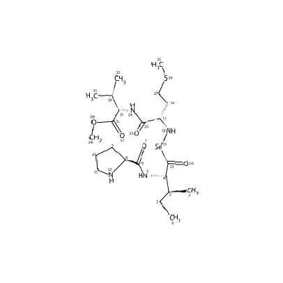 CC[C@H](C)[C@H](NC(=O)[C@@H]1CCCN1)C(=O)[Se]N[C@@H](CCSC)C(=O)N[C@H](C(=O)OC)C(C)C